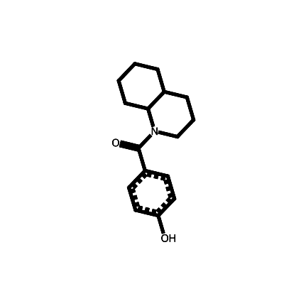 O=C(c1ccc(O)cc1)N1CCCC2CCCCC21